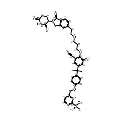 CC(C)(c1ccc(OCc2ccnc(S(C)(=O)=O)n2)cc1)c1cc(Cl)c(OCCCOCCc2ccc3c(c2)CN(C2CCC(=O)NC2=O)C3=O)c(C#N)c1